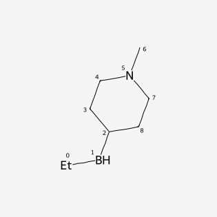 CCBC1CCN(C)CC1